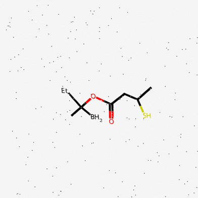 BC(C)(CC)OC(=O)CC(C)S